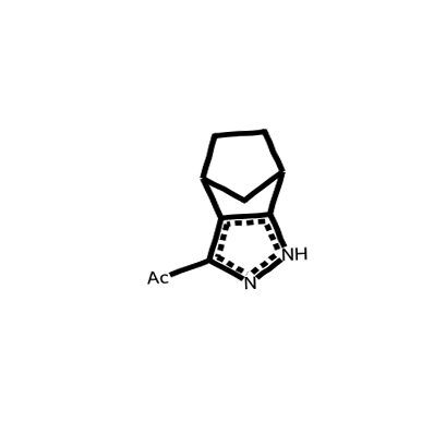 CC(=O)c1n[nH]c2c1C1CCC2C1